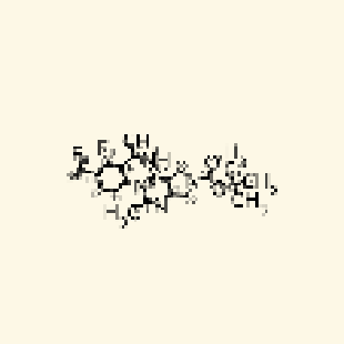 Cc1nc2c(c(N[C@H](C)c3cccc(C(F)F)c3F)n1)CN(C(=O)OC(C)(C)C)C2